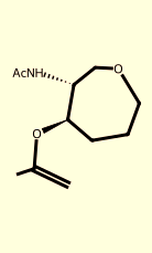 C=C(C)O[C@@H]1CCCOC[C@H]1NC(C)=O